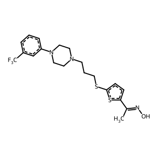 CC(=NO)c1ccc(SCCCN2CCN(c3cccc(C(F)(F)F)c3)CC2)s1